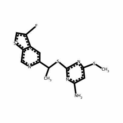 CSc1cc(N)nc(SC(C)c2cc3c(F)csc3cn2)n1